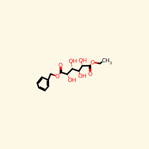 CCOC(=O)[C@@H](O)[C@H](O)[C@@H](O)[C@H](O)C(=O)OCc1ccccc1